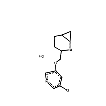 Cl.Clc1cncc(OCC2CCC3CC3N2)c1